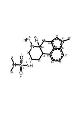 CCCN1C[C@@H](NS(=O)(=O)N(C)C)CC2c3cccc4c3c(cn4C)C[C@H]21